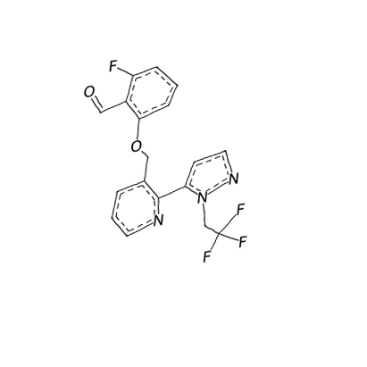 O=Cc1c(F)cccc1OCc1cccnc1-c1ccnn1CC(F)(F)F